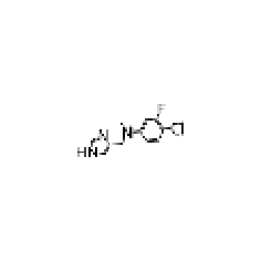 CN(Cc1c[nH]cn1)c1ccc(Cl)c(F)c1